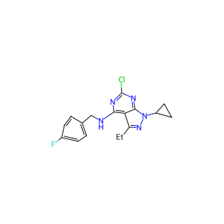 CCc1nn(C2CC2)c2nc(Cl)nc(NCc3ccc(F)cc3)c12